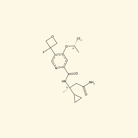 C[C@H](Oc1cc(C(=O)N[C@@](C)(CC(N)=O)C2CC2)ncc1C1(F)COC1)C(F)(F)F